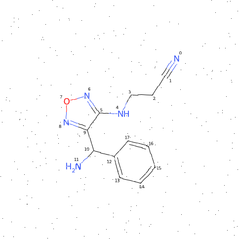 N#CCCNc1nonc1C(N)c1ccccc1